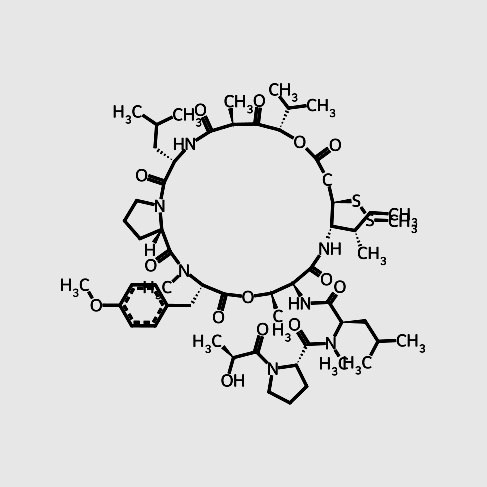 CC[C@H](C)[C@@H]1NC(=O)[C@@H](NC(=O)[C@@H](CC(C)C)N(C)C(=O)[C@@H]2CCCN2C(=O)[C@H](C)O)[C@@H](C)OC(=O)[C@H](Cc2ccc(OC)cc2)N(C)C(=O)[C@@H]2CCCN2C(=O)[C@H](CC(C)C)NC(=O)[C@@H](C)C(=O)[C@H](C(C)C)OC(=O)C[C@H]1SSC